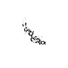 C[C@H]1CNCCN1c1ccc(Nc2cc(-c3ccnc(N4CCn5c(cc6c5CC(C)(C)C6)C4=O)c3CO)cn(C)c2=O)nc1